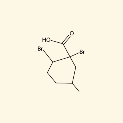 CC1CCC(Br)C(Br)(C(=O)O)C1